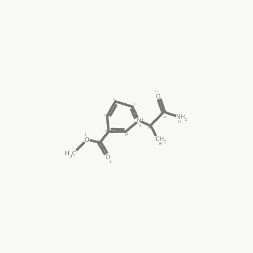 COC(=O)c1ccc[n+](C(C)C(N)=O)c1